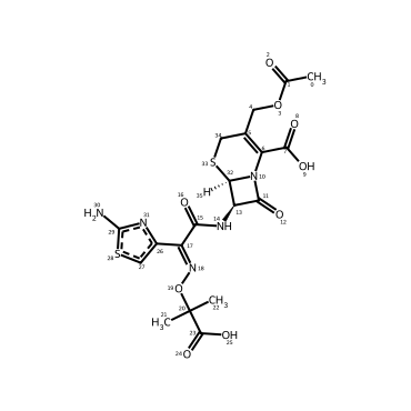 CC(=O)OCC1=C(C(=O)O)N2C(=O)[C@@H](NC(=O)C(=NOC(C)(C)C(=O)O)c3csc(N)n3)[C@H]2SC1